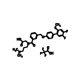 CSc1cc(F)c(F)cc1-c1ccc(OCc2cccc(C(=O)N(CCCN(C)C)CC(=O)O)c2)cc1.O=C(O)C(F)(F)F